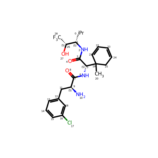 CC(C)[C@H](NC(=O)[C@@H](NC(=O)[C@@H](N)Cc1cccc(Cl)c1)C1(C)C=CC=CC1)[C@H](O)C(F)(F)F